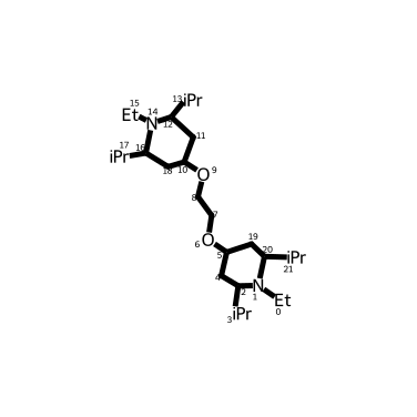 CCN1C(C(C)C)CC(OCCOC2CC(C(C)C)N(CC)C(C(C)C)C2)CC1C(C)C